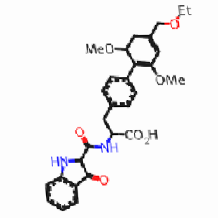 CCOCC1=CC(OC)=C(c2ccc(CC(NC(=O)C3Nc4ccccc4C3=O)C(=O)O)cc2)C(OC)C1